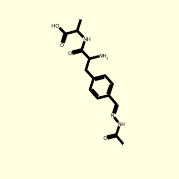 CC(=O)N/N=C/c1ccc(CC(N)C(=O)NC(C)C(=O)O)cc1